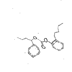 CCCCc1ccccc1OC(=O)OC(CCC)c1ccccc1